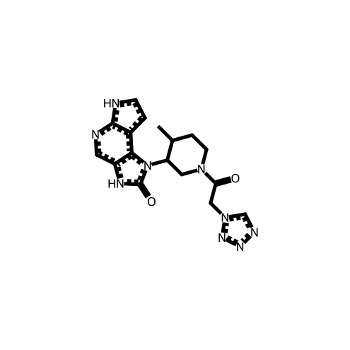 CC1CCN(C(=O)Cn2cnnn2)CC1n1c(=O)[nH]c2cnc3[nH]ccc3c21